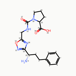 N[C@@H](CCc1ccccc1)c1noc(CNC(=O)N2CCCC2C(=O)O)n1